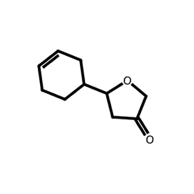 O=C1COC(C2CC=CCC2)C1